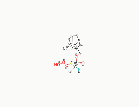 N#CC12CC3CC(C1)CC(COC(=O)C(F)(F)SOOO)(C3)C2